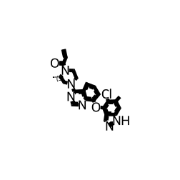 C=CC(=O)N1CCN(c2ncnc3c(Oc4c(Cl)c(C)cc5[nH]ncc45)cccc23)C[C@@H]1C